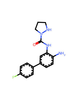 Nc1ccc(-c2ccc(F)cc2)cc1NC(=O)N1CCCN1